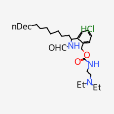 CCCCCCCCCCCCCCCCCC(NC=O)c1ccccc1COC(=O)NCCN(CC)CC.Cl